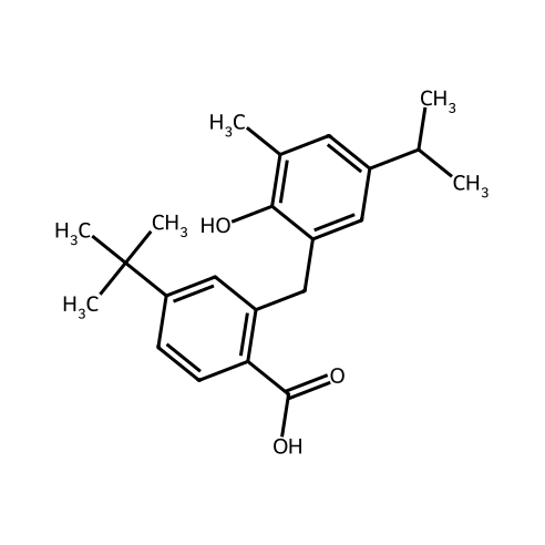 Cc1cc(C(C)C)cc(Cc2cc(C(C)(C)C)ccc2C(=O)O)c1O